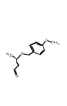 COc1ccc(CO[C@H](C)CC=O)cc1